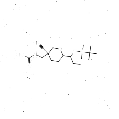 CCC(O[Si](C)(C)C(C)(C)C)C1CCC(C#N)(CNC(=O)O)CO1